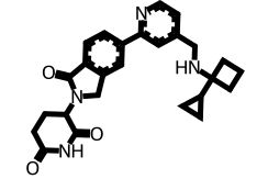 O=C1CCC(N2Cc3cc(-c4cc(CNC5(C6CC6)CCC5)ccn4)ccc3C2=O)C(=O)N1